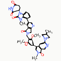 COc1cc(-c2cn(C)c(=O)c3cnc(N4CC(C)C4)cc23)cc(OC)c1CN1Cc2ncc(-c3cccc4c3n(C)c(=O)n4C3CCC(=O)NC3=O)cc2C1=O